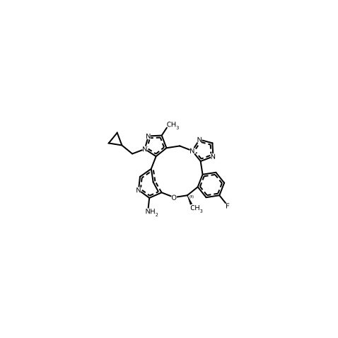 Cc1nn(CC2CC2)c2c1Cn1ncnc1-c1ccc(F)cc1[C@@H](C)Oc1cc-2cnc1N